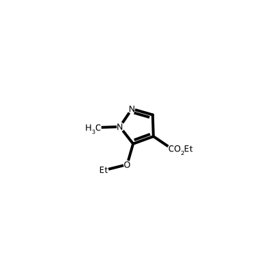 CCOC(=O)c1cnn(C)c1OCC